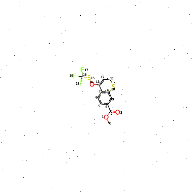 COC(=O)c1ccc2c(c1)SCC=C2OSC(F)(F)F